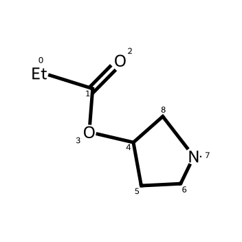 CCC(=O)OC1CC[N]C1